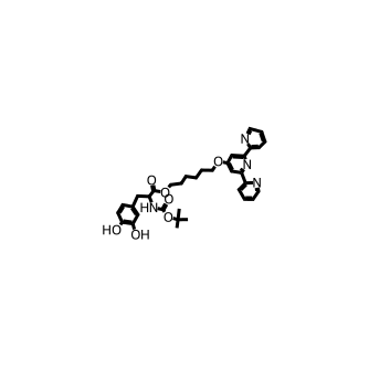 CC(C)(C)OC(=O)NC(Cc1ccc(O)c(O)c1)C(=O)OCCCCCCOc1cc(-c2ccccn2)nc(-c2ccccn2)c1